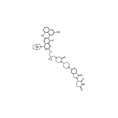 CCc1cccc2cc(O)cc(-c3ncc4c(N5CC6CCC(C5)N6)nc(OCC5(CN6CCN(C7CCN(c8ccc9c(c8)CN(C8CCC(=O)NC8=O)C9=O)CC7)C(=O)C6)CC5)nc4c3F)c12